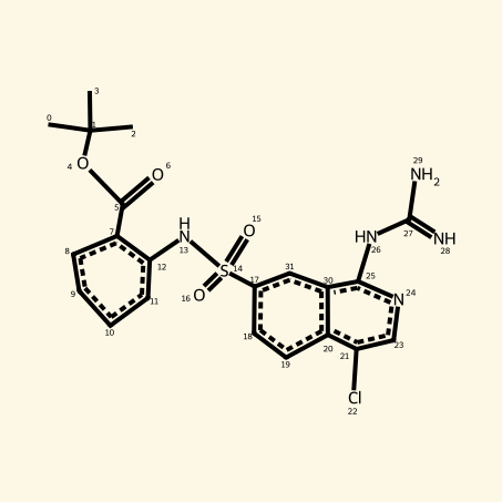 CC(C)(C)OC(=O)c1ccccc1NS(=O)(=O)c1ccc2c(Cl)cnc(NC(=N)N)c2c1